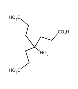 O=C(O)CCC(CCC(=O)O)(CCC(=O)O)[N+](=O)[O-]